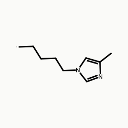 [CH2]CCCCn1cnc(C)c1